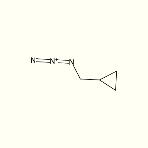 [N-]=[N+]=NCC1CC1